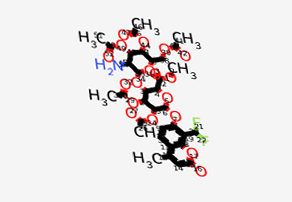 COC(=O)C1OC(Oc2ccc3c(C)cc(=O)oc3c2C(F)F)C(OC(C)=O)C(OC(C)=O)C1OC1OC(COC(C)=O)C(OC(C)=O)C(OC(C)=O)C1N